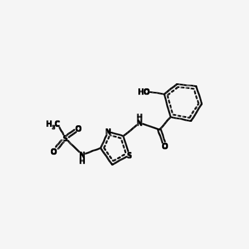 CS(=O)(=O)Nc1csc(NC(=O)c2ccccc2O)n1